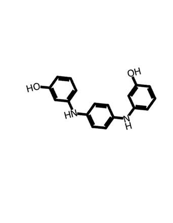 Oc1cccc(Nc2ccc(Nc3cccc(O)c3)cc2)c1